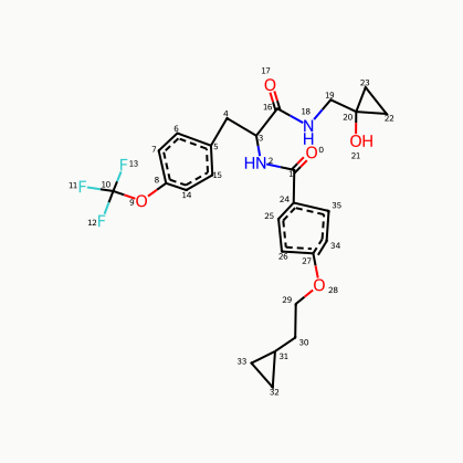 O=C(NC(Cc1ccc(OC(F)(F)F)cc1)C(=O)NCC1(O)CC1)c1ccc(OCCC2CC2)cc1